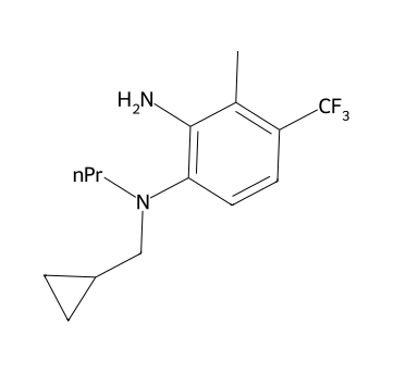 CCCN(CC1CC1)c1ccc(C(F)(F)F)c(C)c1N